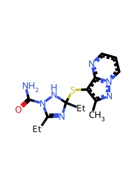 CCC1=NC(CC)(Sc2c(C)nn3cccnc23)NN1C(N)=O